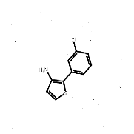 Nc1ccsc1-c1cccc(Cl)c1